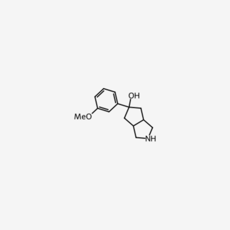 COc1cccc(C2(O)CC3CNCC3C2)c1